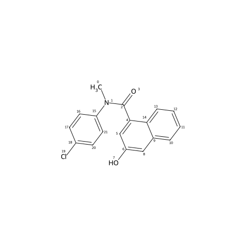 CN(C(=O)c1cc(O)cc2ccccc12)c1ccc(Cl)cc1